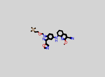 COc1nc2c(cc1C#N)CCCC2Nc1ccc2c(c1)c(-c1cnco1)nn2COCCS(C)(C)C